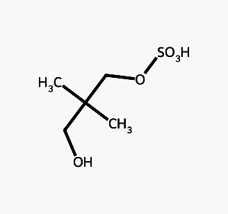 CC(C)(CO)COS(=O)(=O)O